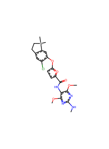 CNc1nc(OC)c(NC(=O)c2ccc(Oc3cc4c(cc3Cl)CC[Si]4(C)C)o2)c(OC)n1